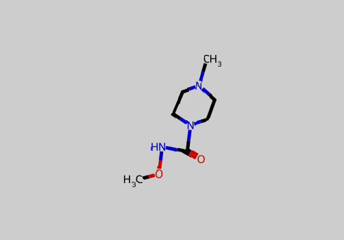 CONC(=O)N1CCN(C)CC1